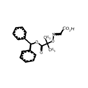 CC(C)(ON=CC(=O)O)C(=O)OC(c1ccccc1)c1ccccc1